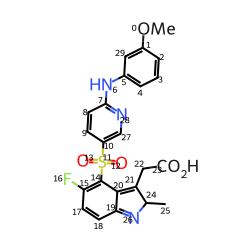 COc1cccc(Nc2ccc(S(=O)(=O)c3c(F)ccc4c3=C(CC(=O)O)C(C)N=4)cn2)c1